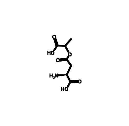 CC(OC(=O)C[C@H](N)C(=O)O)C(=O)O